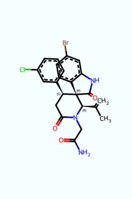 C=C(C)[C@H]1N(CC(N)=O)C(=O)C[C@@H](c2cccc(Cl)c2)[C@]12C(=O)Nc1cc(Br)ccc12